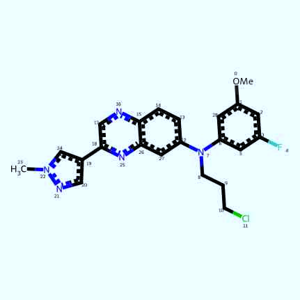 COc1cc(F)cc(N(CCCCl)c2ccc3ncc(-c4cnn(C)c4)nc3c2)c1